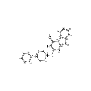 O=c1[nH]c(CN2CCN(c3ccccc3)CC2)nc2sc3ccccc3c12